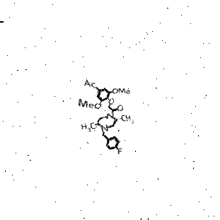 COc1cc(C(C)=O)cc(OC)c1OCC(=O)N1C[C@H](C)N(Cc2ccc(F)cc2)C[C@H]1C